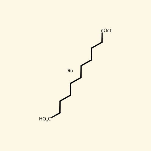 CCCCCCCCCCCCCCCCCC(=O)O.[Ru]